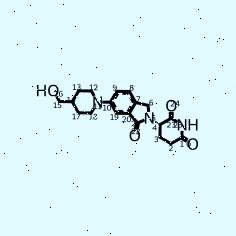 O=C1CC[C@H](N2Cc3ccc(N4CCC(CO)CC4)cc3C2=O)C(=O)N1